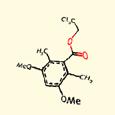 COc1cc(OC)c(C)c(C(=O)OCC(Cl)(Cl)Cl)c1C